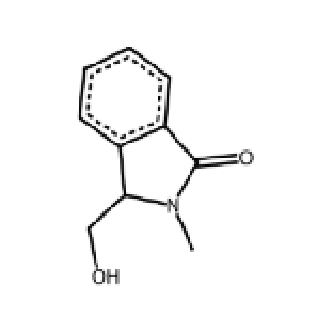 CN1C(=O)c2ccccc2C1CO